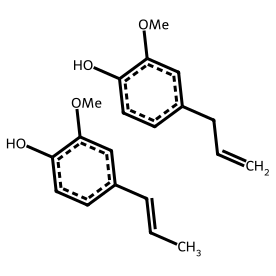 C=CCc1ccc(O)c(OC)c1.CC=Cc1ccc(O)c(OC)c1